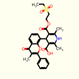 CCS(=O)(=O)CCOC(=O)C1=C(C)NC(C)=C(C(=O)O)C1c1cccc2c(=O)c(C)c(-c3ccccc3)oc12